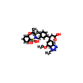 COc1cc(C(CC(=O)O)c2ccc(C)c(CN3C[C@@H](C)Oc4ccccc4S3(O)O)c2)cc2nnn(C)c12